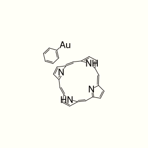 C1=Cc2cc3ccc(cc4nc(cc5ccc(cc1n2)[nH]5)C=C4)[nH]3.[Au][c]1ccccc1